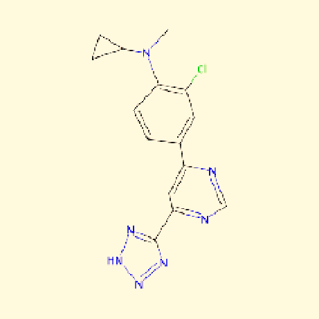 CN(c1ccc(-c2cc(-c3nn[nH]n3)ncn2)cc1Cl)C1CC1